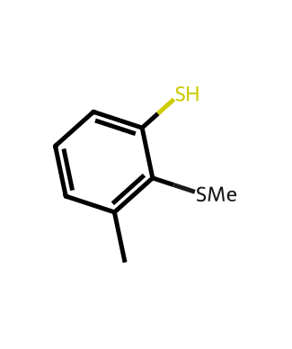 CSc1c(C)cccc1S